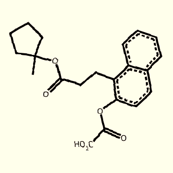 CC1(OC(=O)CCc2c(OC(=O)C(=O)O)ccc3ccccc23)CCCC1